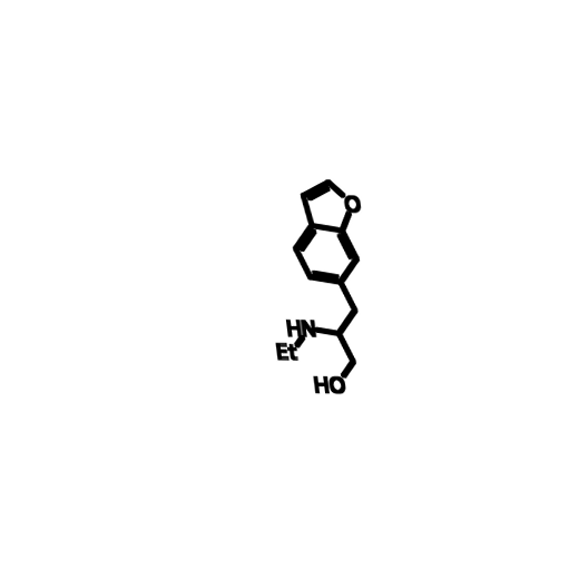 CCNC(CO)Cc1ccc2ccoc2c1